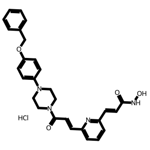 Cl.O=C(/C=C/c1cccc(/C=C/C(=O)N2CCN(c3ccc(OCc4ccccc4)cc3)CC2)n1)NO